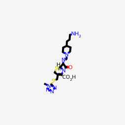 Cn1nnnc1SCC1=C(C(=O)O)N2C(=O)C(/N=C/N3CCC(CCCN)CC3)[C@H]2SC1